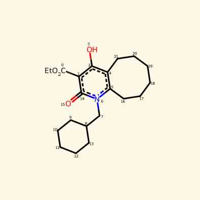 CCOC(=O)c1c(O)c2c(n(CC3CCCCC3)c1=O)CCCCCC2